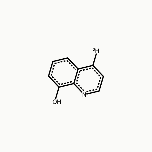 [2H]c1ccnc2c(O)cccc12